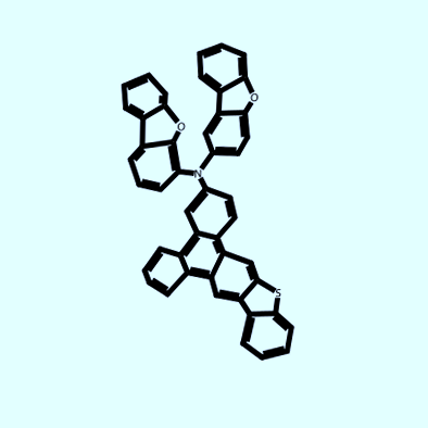 c1ccc2c(c1)oc1ccc(N(c3ccc4c(c3)c3ccccc3c3cc5c(cc43)sc3ccccc35)c3cccc4c3oc3ccccc34)cc12